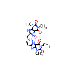 Cn1c(=O)c2c(nc(/C=C\N=C\c3nc4c(c(=O)n(C)c(=O)n4C)n3O)n2N)n(C)c1=O